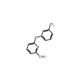 O=Cc1cccc(Oc2cccc(C(F)(F)F)c2)n1